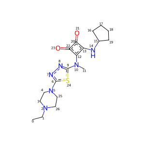 CCN1CCN(c2nnc(N(C)c3c(NC4CCCC4)c(=O)c3=O)s2)CC1